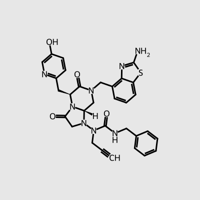 C#CCN(C(=O)NCc1ccccc1)N1CC(=O)N2[C@@H](Cc3ccc(O)cn3)C(=O)N(Cc3cccc4sc(N)nc34)C[C@@H]21